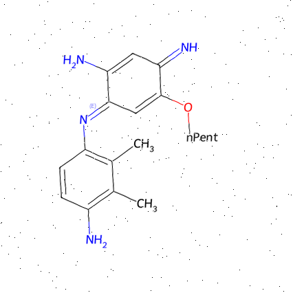 CCCCCOC1=C/C(=N\c2ccc(N)c(C)c2C)C(N)=CC1=N